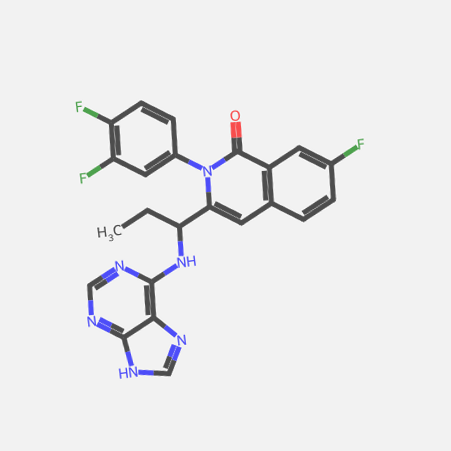 CCC(Nc1ncnc2[nH]cnc12)c1cc2ccc(F)cc2c(=O)n1-c1ccc(F)c(F)c1